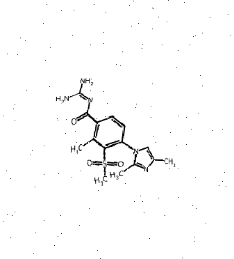 Cc1cn(-c2ccc(C(=O)N=C(N)N)c(C)c2S(C)(=O)=O)c(C)n1